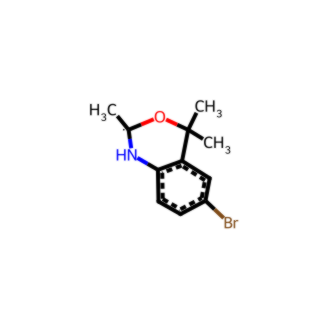 C[C]1Nc2ccc(Br)cc2C(C)(C)O1